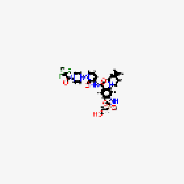 O=C(Nc1cccn(N2CCN(C(=O)C(F)(F)F)CC2)c1=O)c1ccc(NS(=O)(=O)CCO)cc1N1CCC2(CC1)CC2